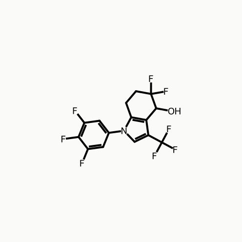 OC1c2c(C(F)(F)F)cn(-c3cc(F)c(F)c(F)c3)c2CCC1(F)F